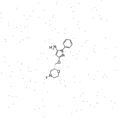 Nc1cc(OC[C@H]2CN(I)CCO2)nn1-c1ccccc1